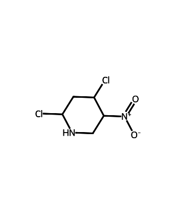 O=[N+]([O-])C1CNC(Cl)CC1Cl